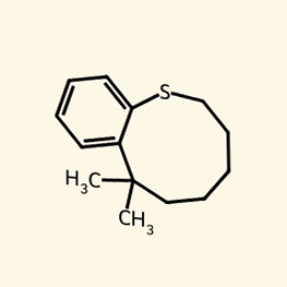 CC1(C)CCCCCSc2ccccc21